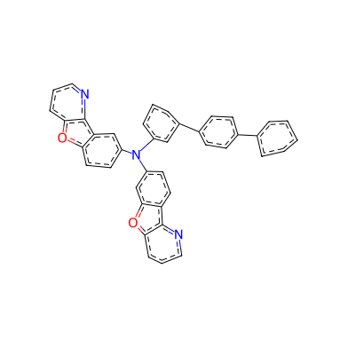 c1ccc(-c2ccc(-c3cccc(N(c4ccc5c(c4)oc4cccnc45)c4ccc5oc6cccnc6c5c4)c3)cc2)cc1